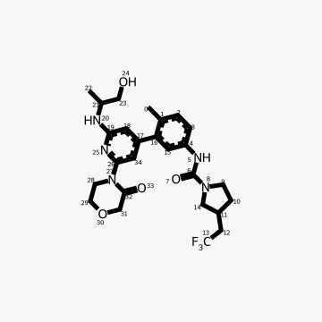 Cc1ccc(NC(=O)N2CCC(CC(F)(F)F)C2)cc1-c1cc(NC(C)CO)nc(N2CCOCC2=O)c1